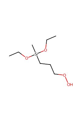 CCO[Si](C)(CCCOO)OCC